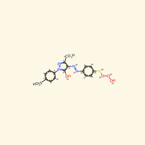 O=C(O)c1nn(-c2ccc(S(=O)(=O)O)cc2)c(O)c1N=Nc1ccc(SOOO)cc1